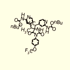 CCCCOC(=O)Nc1cc(C(C)C2(C(C)c3ccnc(NC(=O)OCCCC)c3)NC(=O)N(c3ccc(OC(F)(F)F)cc3)C2=O)ccn1